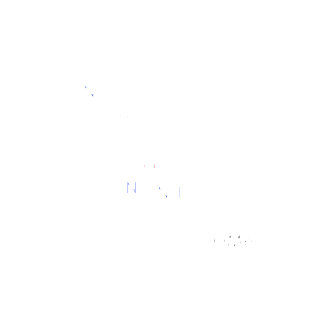 COc1ccc(CNc2ncc(-c3ccc4cnccc4c3)o2)cc1